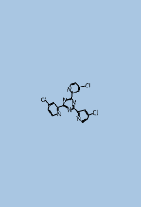 Clc1ccnc(-c2nc(-c3cc(Cl)ccn3)nc(-c3cc(Cl)ccn3)n2)c1